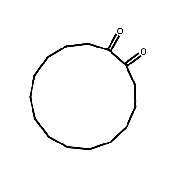 O=C1CCCCCCCCCCCCCC1=O